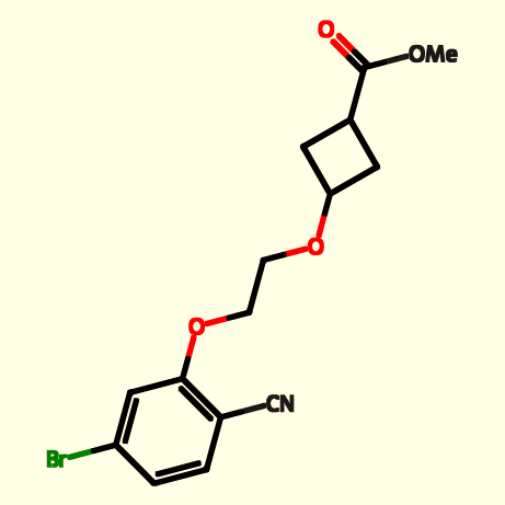 COC(=O)C1CC(OCCOc2cc(Br)ccc2C#N)C1